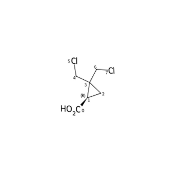 O=C(O)[C@@H]1CC1(CCl)CCl